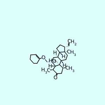 C=C[C@H]1CC[C@H]2[C@@H]3C[C@@H](COC4=CCCCC4)[C@H]4[C@H](C)C(=O)C[C@H](C)[C@]4(CO)[C@H]3CC[C@]12C